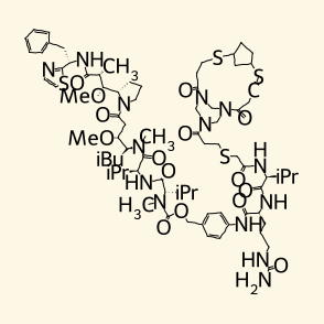 CC[C@H](C)[C@@H]([C@@H](CC(=O)N1CCC[C@H]1[C@H](OC)[C@@H](C)C(=O)N[C@@H](Cc1ccccc1)c1nccs1)OC)N(C)C(=O)[C@@H](NC(=O)[C@H](C(C)C)N(C)C(=O)OCc1ccc(NC(=O)[C@H](CCCNC(N)=O)NC(=O)[C@@H](NC(=O)CSCCC(=O)N2CN3CN(C2)C(=O)CCSC2CCC(C2)SCCC3=O)C(C)C)cc1)C(C)C